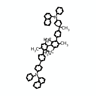 Cc1cc(C)c(-c2c(C)cc(C)c(-c3ccc(C4(C)C=CC(N(c5ccccc5)c5cccc6ccccc56)=CC4)cc3)c2C)c(C)c1-c1ccc(-c2ccc(N(c3ccccc3)c3cccc4ccccc34)cc2)cc1